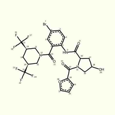 O=C(Nc1ccc(Br)cc1C(=O)N1C[C@H](C(F)(F)F)C[C@H](C(F)(F)F)C1)C1CC(O)CN1C(=O)c1ccco1